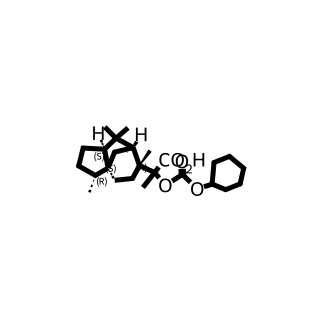 C[C@@H]1CC[C@H]2C(C)(C)[C@H]3C[C@@]12CC[C@@]3(C)C(C)(OC(=O)OC1CCCCC1)C(=O)O